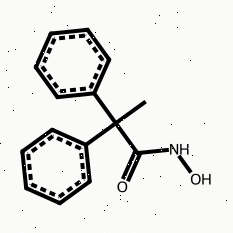 CC(C(=O)NO)(c1ccccc1)c1ccccc1